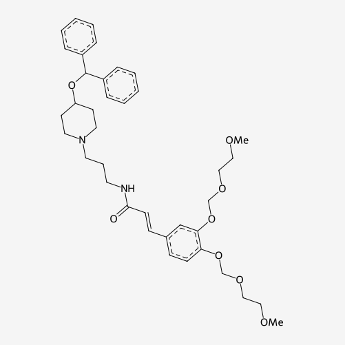 COCCOCOc1ccc(C=CC(=O)NCCCN2CCC(OC(c3ccccc3)c3ccccc3)CC2)cc1OCOCCOC